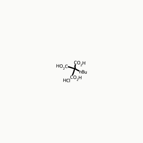 CCCCC(C(=O)O)(C(=O)O)C(=O)O.Cl